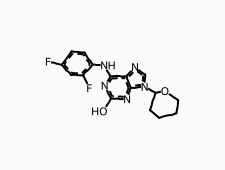 Oc1nc(Nc2ccc(F)cc2F)c2ncn(C3CCCCO3)c2n1